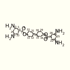 Nc1cc(N)cc(C(=O)Oc2ccc(-c3ccc(OC(=O)c4cc(N)cc(N)c4)cc3)cc2)c1